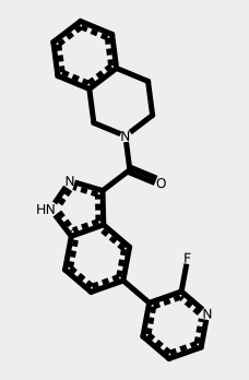 O=C(c1n[nH]c2ccc(-c3cccnc3F)cc12)N1CCc2ccccc2C1